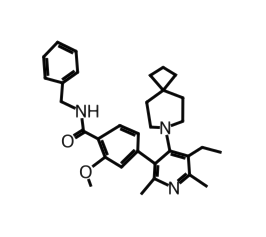 CCc1c(C)nc(C)c(-c2ccc(C(=O)NCc3ccccc3)c(OC)c2)c1N1CCC2(CCC2)CC1